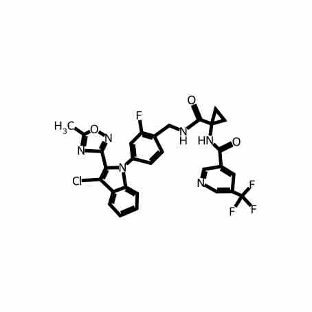 Cc1nc(-c2c(Cl)c3ccccc3n2-c2ccc(CNC(=O)C3(NC(=O)c4cncc(C(F)(F)F)c4)CC3)c(F)c2)no1